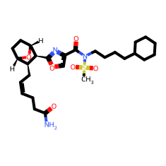 CS(=O)(=O)N(CCCCC1CCCCC1)C(=O)c1coc([C@H]2[C@@H](C/C=C\CCC(N)=O)[C@@H]3CC[C@H]2O3)n1